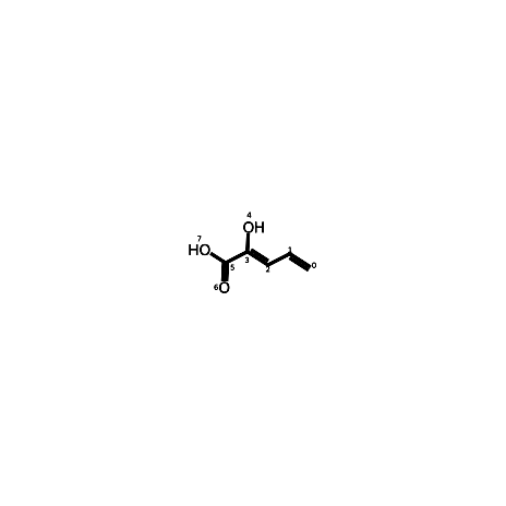 C=C/C=C(\O)C(=O)O